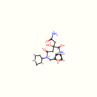 NC(=O)CC(O)(CC(=O)N(Cc1ccco1)C1CCCCC1)C(N)=O